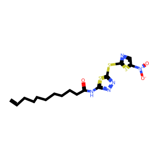 C=CCCCCCCCCC(=O)Nc1nnc(Sc2ncc([N+](=O)[O-])s2)s1